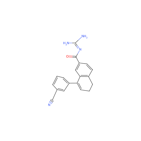 N#Cc1cccc(C2=CCCc3ccc(C(=O)N=C(N)N)cc32)c1